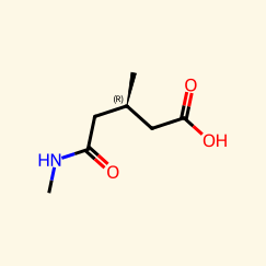 CNC(=O)C[C@@H](C)CC(=O)O